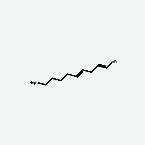 [CH2]CCC=CCC=CCCCCCCCCCCC